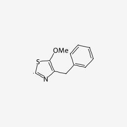 COc1s[c]nc1Cc1ccccc1